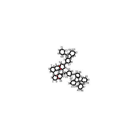 c1ccc(-c2cccc3cccc(-c4ccccc4N(c4ccc(-c5cccc6c5-c5ccccc5C6(c5ccccc5)c5ccccc5)cc4)c4cccc(-c5ccc6c7ccccc7n(-c7ccccc7)c6c5)c4)c23)cc1